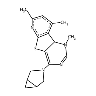 Cc1cc(C)c2c(n1)SC1=C(N3CC4CC4C3)N=CN(C)C12